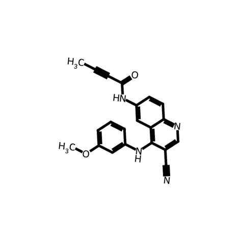 CC#CC(=O)Nc1ccc2ncc(C#N)c(Nc3cccc(OC)c3)c2c1